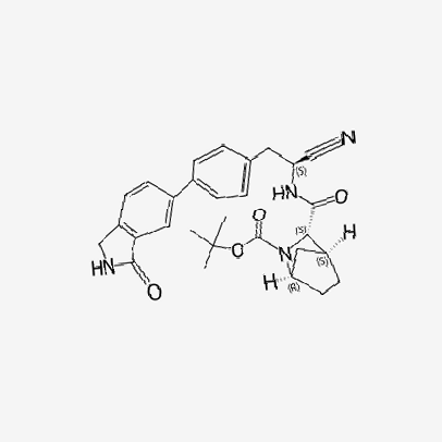 CC(C)(C)OC(=O)N1[C@@H]2CC[C@@H](C2)[C@H]1C(=O)N[C@H](C#N)Cc1ccc(-c2ccc3c(c2)C(=O)NC3)cc1